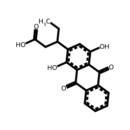 CCC(CC(=O)O)c1cc(O)c2c(c1O)C(=O)c1ccccc1C2=O